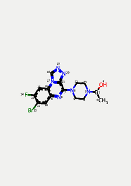 CB(O)N1CCN(c2nc3cc(Br)c(F)cc3n3cnnc23)CC1